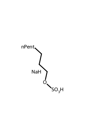 CCCCCCCCOS(=O)(=O)O.[NaH]